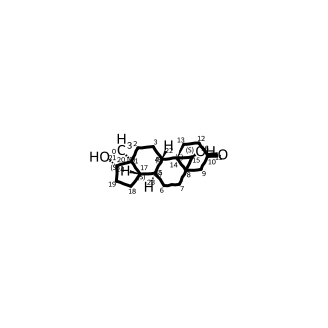 C[C@]12CC[C@H]3[C@@H](CCC45CC(=O)CC[C@]34[C@H]5O)[C@@H]1CC[C@@H]2O